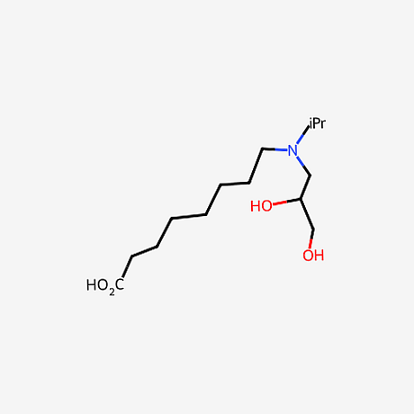 CC(C)N(CCCCCCCC(=O)O)CC(O)CO